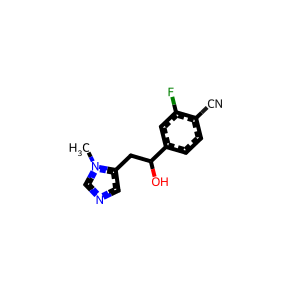 Cn1cncc1CC(O)c1ccc(C#N)c(F)c1